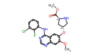 COC(=O)[C@@H]1C[C@@H](Oc2cc3c(Nc4cccc(Cl)c4F)ncnc3cc2OC)CN1